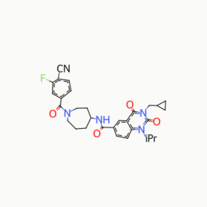 CC(C)n1c(=O)n(CC2CC2)c(=O)c2cc(C(=O)NC3CCCN(C(=O)c4ccc(C#N)c(F)c4)CC3)ccc21